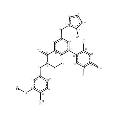 CCOc1cc(CN2CCc3c(cc(Cn4ccnc4C)cc3-c3cn(C)c(=O)cc3Cl)C2=O)ncc1C#N